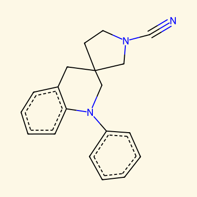 N#CN1CCC2(Cc3ccccc3N(c3ccccc3)C2)C1